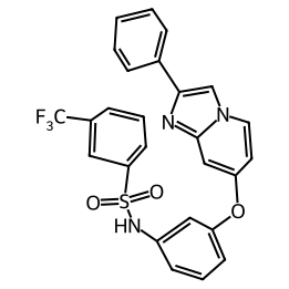 O=S(=O)(Nc1cccc(Oc2ccn3cc(-c4ccccc4)nc3c2)c1)c1cccc(C(F)(F)F)c1